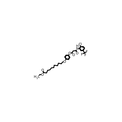 CCOC(=O)CCCCCCCCCCOc1ccc(OC(=O)CC(=O)Nc2cc(C(F)(F)F)ccc2Cl)cc1